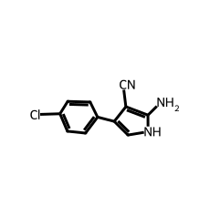 N#Cc1c(-c2ccc(Cl)cc2)c[nH]c1N